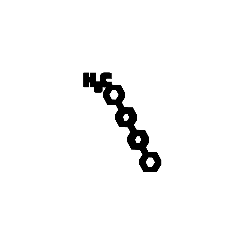 CC1CCC(c2ccc(-c3ccc(C4CCCCC4)cc3)cc2)CC1